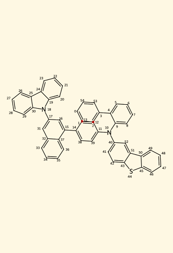 c1ccc(-c2ccccc2N(c2ccc(-c3cc(-n4c5ccccc5c5ccccc54)cc4ccccc34)cc2)c2ccc3sc4ccccc4c3c2)cc1